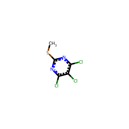 CSc1nc(Cl)c(Cl)c(Cl)n1